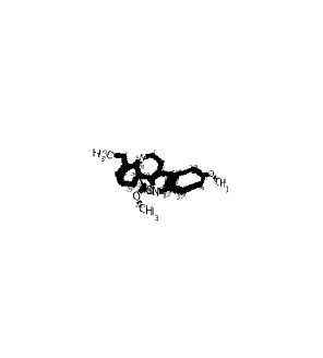 CCC1CC2CN3CCc4c([nH]c5ccc(OC)cc45)[C@](C(=O)OC)(C2)C13